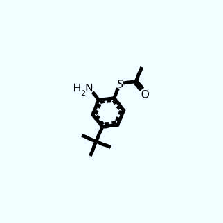 CC(=O)Sc1ccc(C(C)(C)C)cc1N